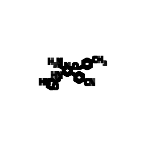 Cc1ccc(COc2nc(CN)c(NCC3CNCCO3)cc2-c2ccc(C#N)cc2)cc1